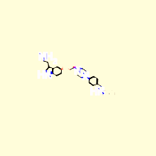 NCCc1c[nH]c2ccc(OCC(=O)N3CCN(c4ccc(CNC(=O)O)cc4)CC3)cc12